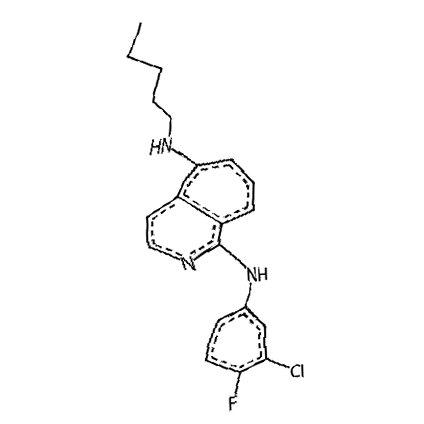 CCCCCNc1cccc2c(Nc3ccc(F)c(Cl)c3)nccc12